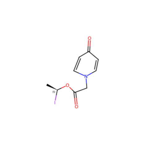 C[C@H](I)OC(=O)Cn1ccc(=O)cc1